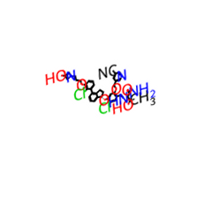 C[C@@H](O)[C@H](NCc1cc(Cl)c(O[C@H]2CCc3c(-c4cccc(OCCCN5CC(O)C5)c4Cl)cccc32)cc1OCc1cncc(C#N)c1)C(N)=O